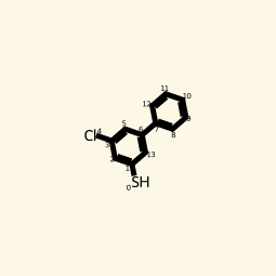 Sc1cc(Cl)cc(-c2ccccc2)c1